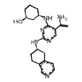 C=C(N)c1cnc(N[C@@H]2CCc3cnccc3C2)nc1N[C@@H]1CCC[C@H](O)C1